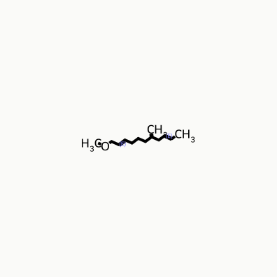 C=C(C/C=C/C)CCC/C=C/COC